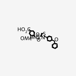 COc1cc(C(=O)O)ccc1NS(=O)(=O)c1csc(-c2ccc(C(=O)c3ccccc3)cc2)n1